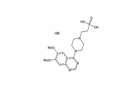 Br.COc1cc2ncnc(N3CCN(CCP(=O)(O)O)CC3)c2cc1OC